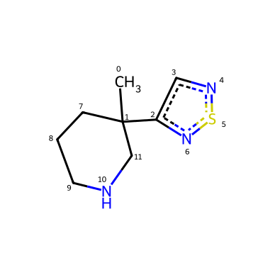 CC1(c2cnsn2)CCCNC1